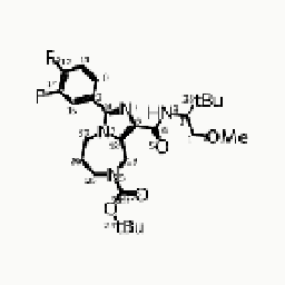 COC[C@@H](NC(=O)c1nc(-c2ccc(F)c(F)c2)n2c1CN(C(=O)OC(C)(C)C)CCC2)C(C)(C)C